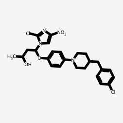 CC(O)CC(Oc1ccc(N2CCC(Cc3ccc(Cl)cc3)CC2)cc1)n1cc([N+](=O)[O-])nc1Cl